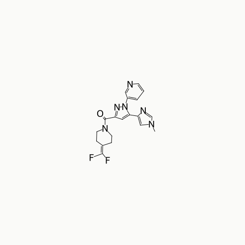 Cn1cnc(-c2cc(C(=O)N3CCC(=C(F)F)CC3)nn2-c2cccnc2)c1